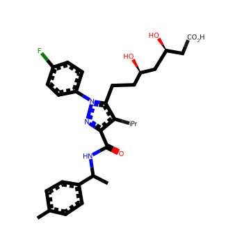 Cc1ccc(C(C)NC(=O)c2nn(-c3ccc(F)cc3)c(CC[C@@H](O)C[C@@H](O)CC(=O)O)c2C(C)C)cc1